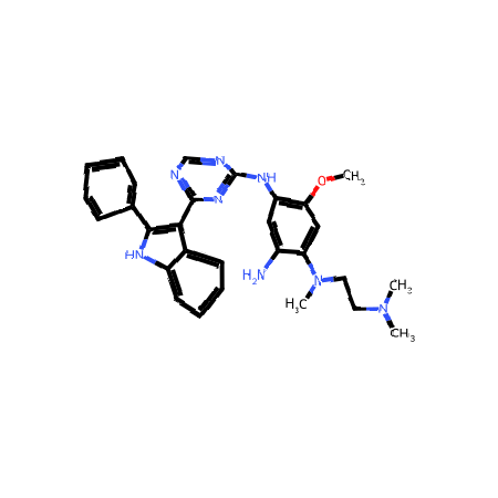 COc1cc(N(C)CCN(C)C)c(N)cc1Nc1ncnc(-c2c(-c3ccccc3)[nH]c3ccccc23)n1